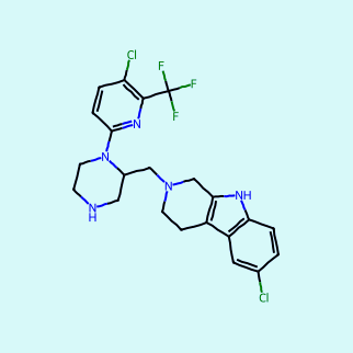 FC(F)(F)c1nc(N2CCNCC2CN2CCc3c([nH]c4ccc(Cl)cc34)C2)ccc1Cl